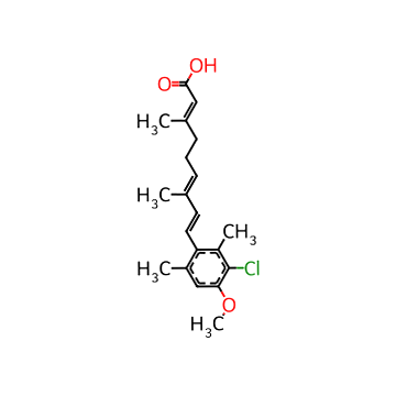 COc1cc(C)c(/C=C/C(C)=C/CC/C(C)=C/C(=O)O)c(C)c1Cl